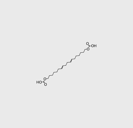 O=C(O)OCCCCCCC=CCCC=CCCCCCCOC(=O)O